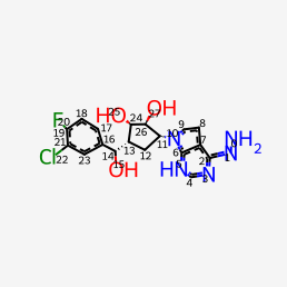 N/N=c1/nc[nH]c2c1ccn2[C@@H]1C[C@H](C(O)c2ccc(F)c(Cl)c2)[C@@H](O)[C@H]1O